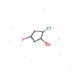 ClC1CC(I)CC1Br